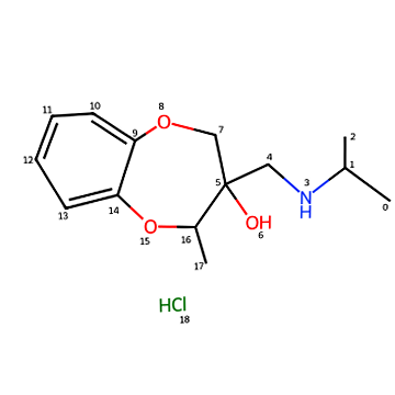 CC(C)NCC1(O)COc2ccccc2OC1C.Cl